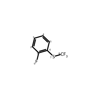 Fc1ccc[c]c1SC(F)(F)F